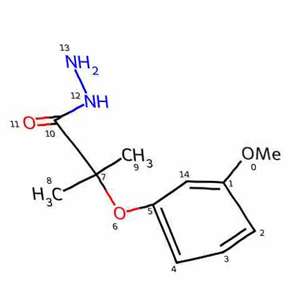 COc1cccc(OC(C)(C)C(=O)NN)c1